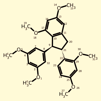 COc1cc(OC)cc([C@H]2c3c(cc(OC)cc3OC)C[C@@H]2c2ccc(OC)cc2OC)c1